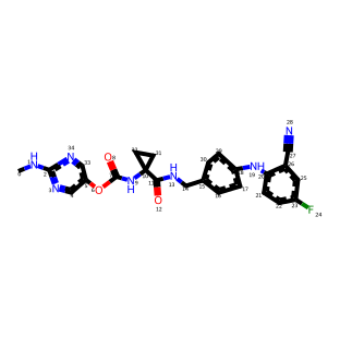 CNc1ncc(OC(=O)NC2(C(=O)NCc3ccc(Nc4ccc(F)cc4C#N)cc3)CC2)cn1